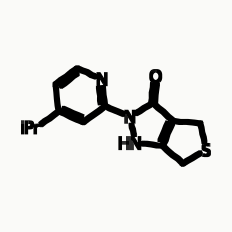 CC(C)c1ccnc(-n2[nH]c3c(c2=O)CSC3)c1